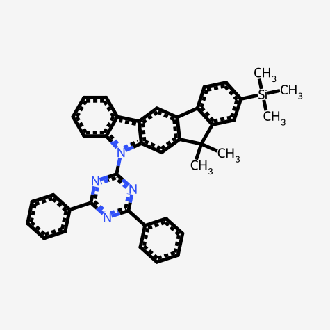 CC1(C)c2cc([Si](C)(C)C)ccc2-c2cc3c4ccccc4n(-c4nc(-c5ccccc5)nc(-c5ccccc5)n4)c3cc21